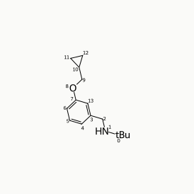 CC(C)(C)NCc1cccc(OCC2CC2)c1